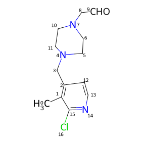 Cc1c(CN2CCN(CC=O)CC2)ccnc1Cl